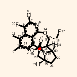 Cc1nc2c3c(nc(Cl)c(F)c3c1C)O[C@H](CF)[C@@H]1[C@@H]3CC[C@H](CN21)N3C(=O)OC(C)(C)C